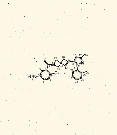 C=C(c1cc(N)ccc1F)N1CC2(C=C(c3cc(C)nn3-c3ccccc3C)C2)C1